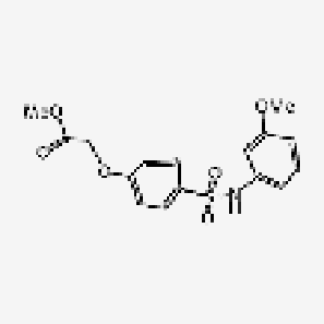 COC(=O)COc1ccc(S(=O)(=O)Nc2cccc(OC)c2)cc1